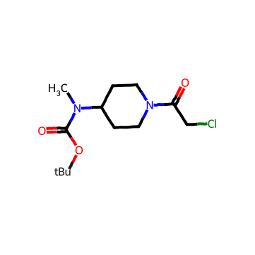 CN(C(=O)OC(C)(C)C)C1CCN(C(=O)CCl)CC1